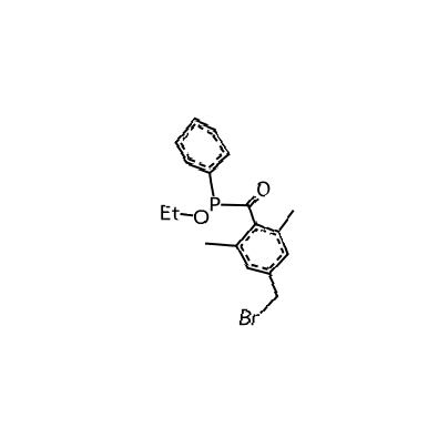 CCOP(C(=O)c1c(C)cc(CBr)cc1C)c1ccccc1